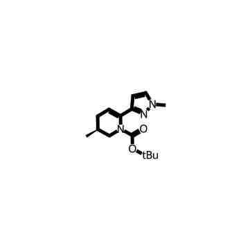 C[C@H]1CC=C(c2ccn(C)n2)N(C(=O)OC(C)(C)C)C1